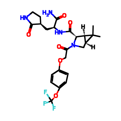 CC1(C)[C@@H]2[C@@H](C(=O)N[C@@H](C[C@@H]3CCNC3=O)C(N)=O)N(C(=O)COc3ccc(OC(F)(F)F)cc3)C[C@@H]21